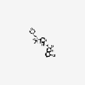 C[C@H](Nc1nccc(N(CCC2CCOCC2)S(C)(=O)=O)n1)c1cc2cccc(Cl)c2[nH]c1=O